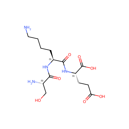 NCCCC[C@H](NC(=O)[C@@H](N)CO)C(=O)N[C@@H](CCC(=O)O)C(=O)O